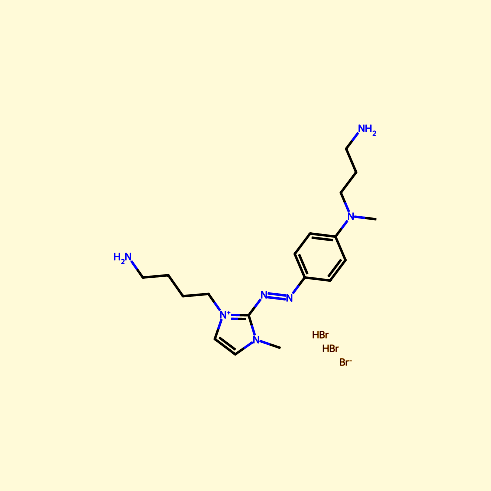 Br.Br.CN(CCCN)c1ccc(/N=N/c2n(C)cc[n+]2CCCCN)cc1.[Br-]